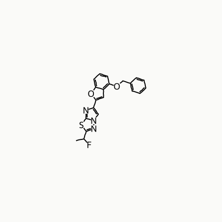 CC(F)c1nn2cc(-c3cc4c(OCc5ccccc5)cccc4o3)nc2s1